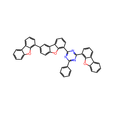 c1ccc(-c2nc(-c3cccc4c3oc3ccccc34)nc(-c3cccc4c3oc3ccc(-c5cccc6c5oc5ccccc56)cc34)n2)cc1